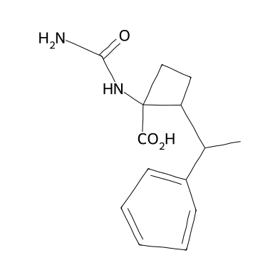 CC(c1ccccc1)C1CCC1(NC(N)=O)C(=O)O